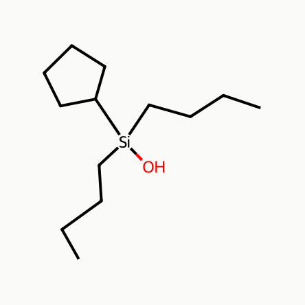 CCCC[Si](O)(CCCC)C1CCCC1